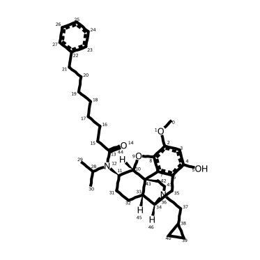 COc1cc(O)c2c3c1O[C@H]1[C@H](N(C(=O)CCCCCCCc4ccccc4)C(C)C)CC[C@H]4[C@@H](C2)N(CC2CC2)CC[C@@]341